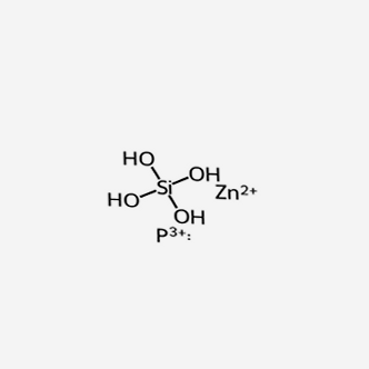 O[Si](O)(O)O.[P+3].[Zn+2]